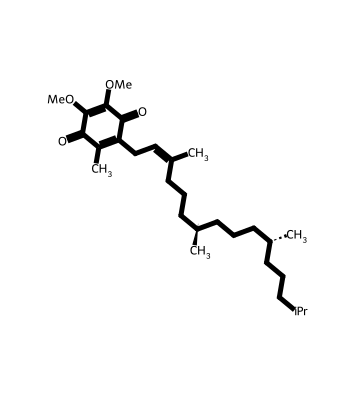 COC1=C(OC)C(=O)C(CC=C(C)CCC[C@H](C)CCC[C@H](C)CCCC(C)C)=C(C)C1=O